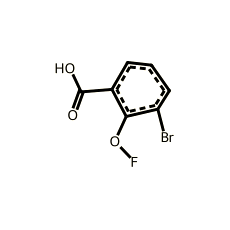 O=C(O)c1cccc(Br)c1OF